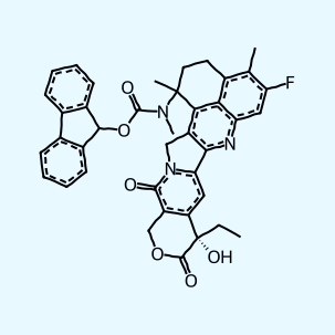 CC[C@@]1(O)C(=O)OCc2c1cc1n(c2=O)Cc2c-1nc1cc(F)c(C)c3c1c2C(C)(N(C)C(=O)OC1c2ccccc2-c2ccccc21)CC3